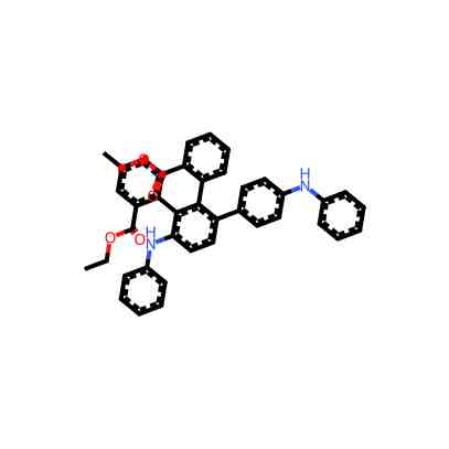 CCOC(=O)c1ccccc1-c1c(Nc2ccccc2)ccc(-c2ccc(Nc3ccccc3)cc2)c1-c1ccccc1C(=O)OCC